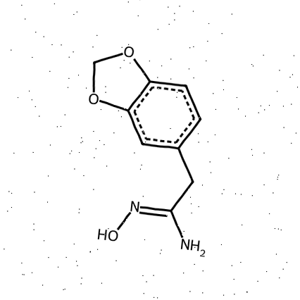 NC(Cc1ccc2c(c1)OCO2)=NO